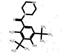 Cc1c(C(=O)N2CCNCC2)cc(C(C)(C)C)c(O)c1C(C)(C)C